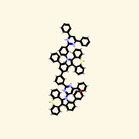 c1ccc(-c2cc(-c3ccccc3)nc(-c3cccc(-n4c5c(c6cc(-c7cccc(-c8nc(-c9ccccc9)cc(-n9c%10c(c%11cccc(-c%12ccccc%12)c%119)-c9ccccc9Sc9ccccc9-%10)n8)c7)cc(-c7ccccc7)c64)-c4ccccc4Sc4ccccc4-5)c3)n2)cc1